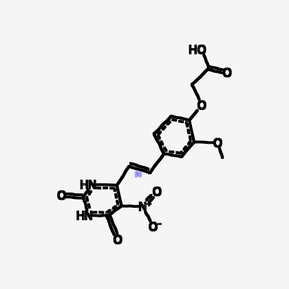 COc1cc(/C=C/c2[nH]c(=O)[nH]c(=O)c2[N+](=O)[O-])ccc1OCC(=O)O